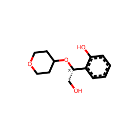 OC[C@H](OC1CCOCC1)c1ccccc1O